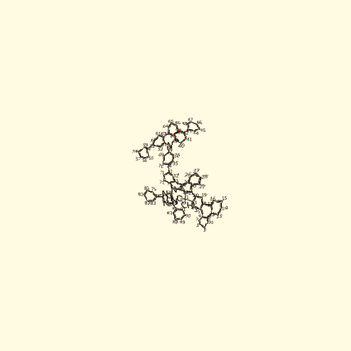 CC1(C)c2cc3c4ccccc4c4ccccc4c3cc2-c2c1c1c(c3ccccc23)c2cc(-c3ccc(N(c4ccc(-c5ccccc5)cc4)c4cc(-c5ccccc5)ccc4-c4ccccc4)cc3)ccc2n1-c1nc(-c2ccccc2)nc(-c2ccccc2)n1